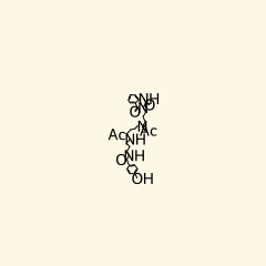 CC(=O)C(CCCN(CCCn1c(=O)[nH]c2ccccc2c1=O)C(C)=O)NCCCNC(=O)c1ccc(O)cc1